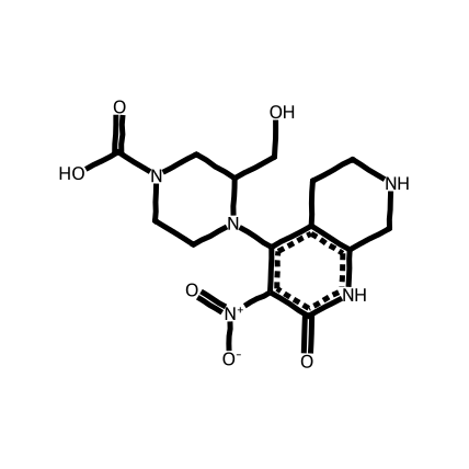 O=C(O)N1CCN(c2c3c([nH]c(=O)c2[N+](=O)[O-])CNCC3)C(CO)C1